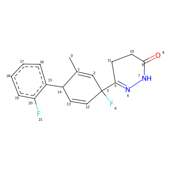 CC1=CC(F)(C2=NNC(=O)CC2)C=CC1c1ccccc1F